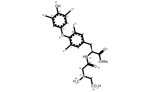 COC(=O)[C@H](Cc1cc(I)c(Oc2cc(I)c(O)c(I)c2)c(I)c1)NC(=O)CN(C)CC(=O)O